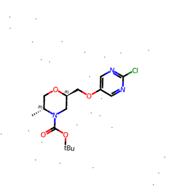 C[C@@H]1CO[C@@H](COc2cnc(Cl)nc2)CN1C(=O)OC(C)(C)C